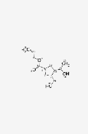 C=CCOC(=O)N1CC(CO)C(C(C)O)C1